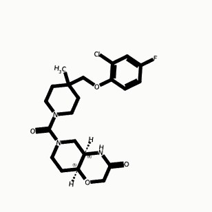 CC1(COc2ccc(F)cc2Cl)CCN(C(=O)N2CC[C@@H]3OCC(=O)N[C@@H]3C2)CC1